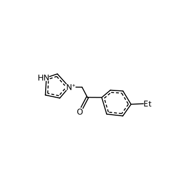 CCc1ccc(C(=O)C[n+]2cc[nH]c2)cc1